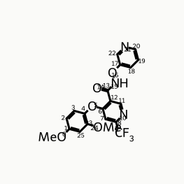 COc1ccc(Oc2cc(C(F)(F)F)ncc2C(=O)NOc2cccnc2)c(OC)c1